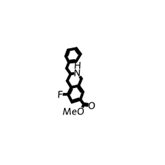 COC(=O)c1cc(F)c2c(c1)CNC(Cc1ccccc1)C2